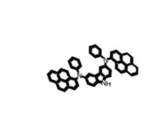 C1=Cc2ccc3c(N(c4ccccc4)c4ccc5[nH]c6ccc(N(c7ccccc7)c7ccc8ccc9cccc%10ccc7c8c9%10)cc6c5c4)ccc4c3c2C(=CC4)C1